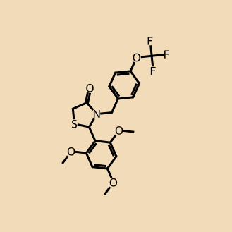 COc1cc(OC)c(C2SCC(=O)N2Cc2ccc(OC(F)(F)F)cc2)c(OC)c1